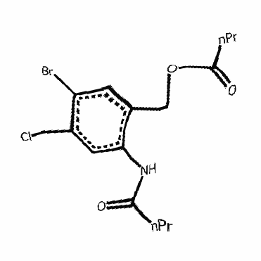 CCCC(=O)Nc1cc(Cl)c(Br)cc1COC(=O)CCC